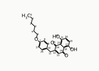 CCCCCCOc1ccc(CC2=CC(=O)c3c(O)ccc(O)c3C2=O)cc1